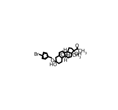 CC(=O)[C@@]1(O)CC[C@H]2[C@@H]3CC=C4CC(O)(OCc5ccc(Br)cc5)CC[C@]4(C)[C@H]3CC[C@@]21C